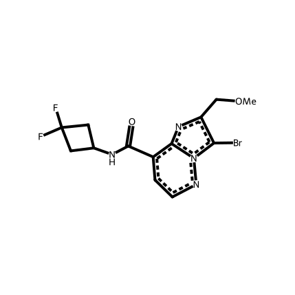 COCc1nc2c(C(=O)NC3CC(F)(F)C3)ccnn2c1Br